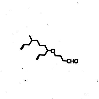 C=CCC(C)CCCC(CC=C)OCCCC=O